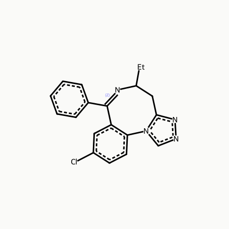 CCC1Cc2nncn2-c2ccc(Cl)cc2/C(c2ccccc2)=N\1